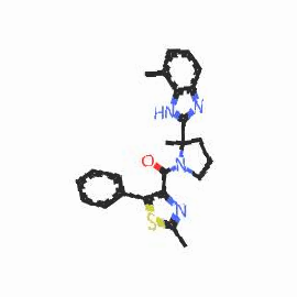 Cc1nc(C(=O)N2CCCC2(C)c2nc3cccc(C)c3[nH]2)c(-c2ccccc2)s1